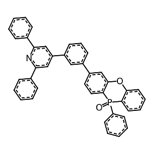 O=P1(c2ccccc2)c2ccccc2Oc2cc(-c3cccc(-c4cc(-c5ccccc5)nc(-c5ccccc5)c4)c3)ccc21